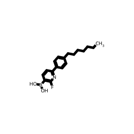 CCCCCCCc1ccc(-c2ccc(B(O)O)c(F)n2)cc1